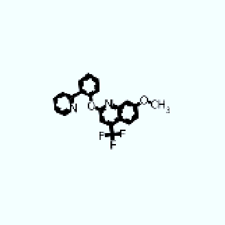 COc1ccc2c(C(F)(F)F)cc(Oc3ccccc3-c3ccccn3)nc2c1